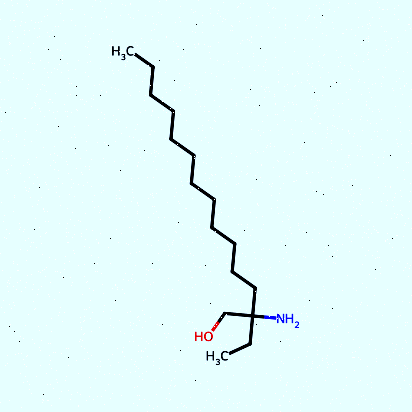 CCCCCCCCCCCCC(N)(CC)CO